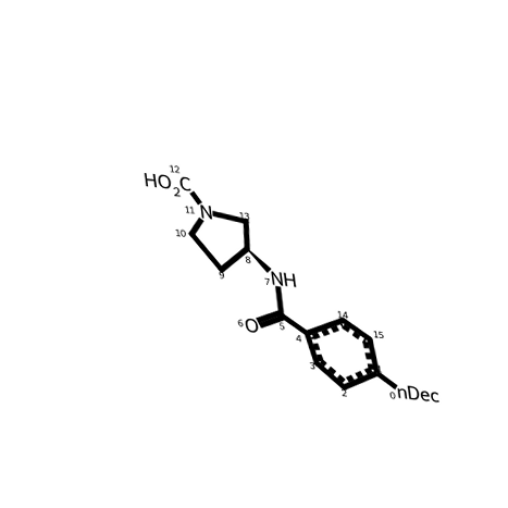 CCCCCCCCCCc1ccc(C(=O)N[C@H]2CCN(C(=O)O)C2)cc1